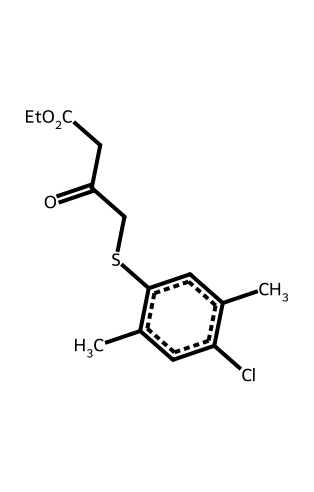 CCOC(=O)CC(=O)CSc1cc(C)c(Cl)cc1C